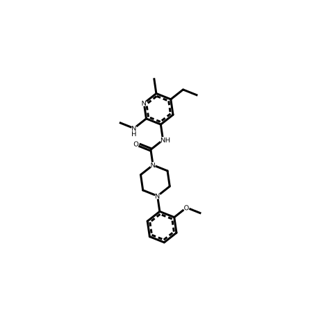 CCc1cc(NC(=O)N2CCN(c3ccccc3OC)CC2)c(NC)nc1C